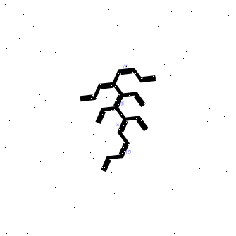 C=CC=C(/C=C\C=C)/C(C=C)=C(C=C)/C(C=C)=C/C=C\C=C